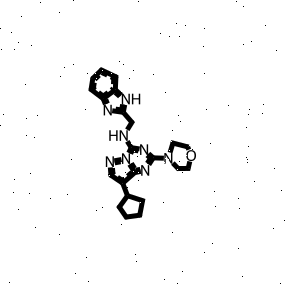 c1ccc2[nH]c(CNc3nc(N4CCOCC4)nc4c(C5CCCC5)cnn34)nc2c1